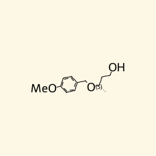 COc1ccc(CO[C@@H](C)CCO)cc1